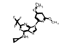 COc1cc(OC)nc(-n2cnc3c(NC4CC4)nc(C(F)(F)F)nc32)c1